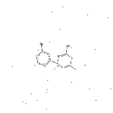 CC1=C[C@@](C)(c2cc(Br)ccn2)N=C(N)S1